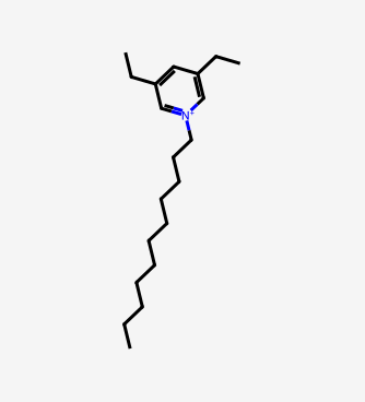 CCCCCCCCCCC[n+]1cc(CC)cc(CC)c1